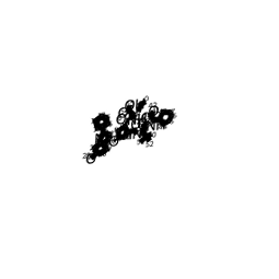 CCC[C@H](NC(=O)[C@H]1C[C@H](Oc2cc(-c3ccccc3)nc3cc(OC)ccc23)C=C1C(=O)N[C@H](C(=O)N[C@H](C(=O)OC)C1CCCCC1)C(C)(C)C)C(=O)O